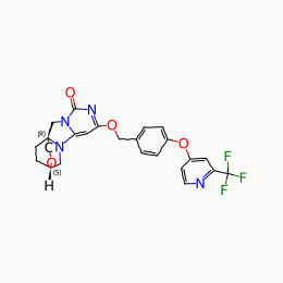 O=c1nc(OCc2ccc(Oc3ccnc(C(F)(F)F)c3)cc2)cc2n1C[C@@]13CC[C@@H](CN21)OC3